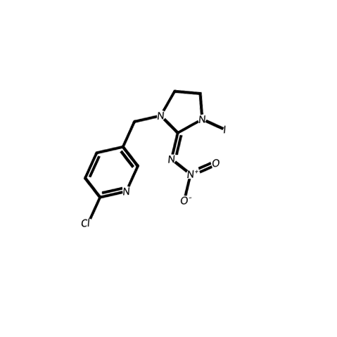 O=[N+]([O-])N=C1N(I)CCN1Cc1ccc(Cl)nc1